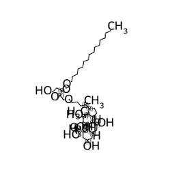 CCCCCCCCCCCCCCCCOO[C@H]1CC(O)O[C@@H]1COCCC[C@@H](C)[C@H]1CC[C@H]2[C@@H]3[C@H](O)C[C@@H]4C[C@H](O)CC(P(=O)(O)O)[C@]4(C)[C@H]3C[C@H](O)[C@]12C